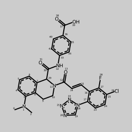 CN(C)c1cccc2c1CCN(C(=O)/C=C/c1c(-n3cnnn3)ccc(Cl)c1F)C2C(=O)Nc1ccc(C(=O)O)cc1